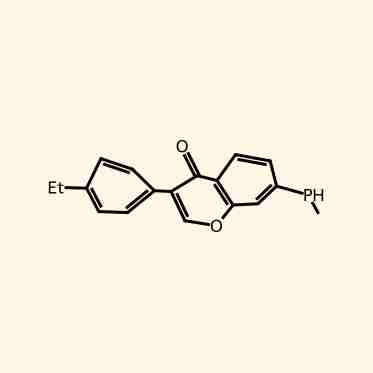 CCc1ccc(-c2coc3cc(PC)ccc3c2=O)cc1